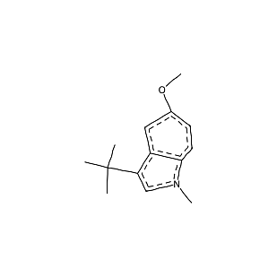 COc1ccc2c(c1)c(C(C)(C)C)cn2C